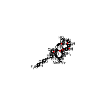 CN[C@H](CC(C)C)C(=O)NC1C(=O)N[C@@H](CC(N)=O)C(=O)N[C@H]2C(=O)N[C@H]3C(=O)N[C@H](C(=O)N[C@@H](C(=O)O)c4cc(O)cc(O)c4-c4cc3ccc4O)[C@H](O[C@H]3C[C@](C)(NCc4cccnc4)[C@@H](O)[C@H](C)O3)c3ccc(c(Cl)c3)Oc3cc2cc(c3O[C@@H]2O[C@H](CO)[C@@H](O[C@@H]3O[C@H](CNCCn4ccc(NC(=O)c5ccc(OC(F)(F)F)cc5)nc4=O)[C@H](O)[C@H](O)[C@H]3O)[C@H](O)[C@H]2O)Oc2ccc(cc2Cl)[C@H]1O